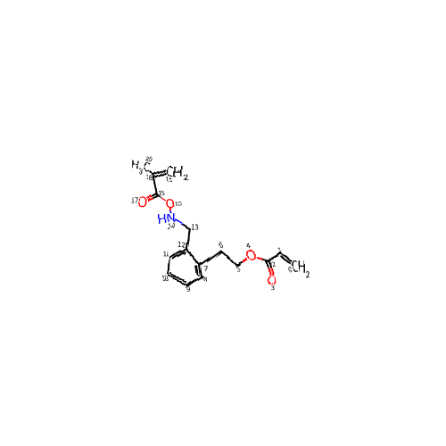 C=CC(=O)OCCc1ccccc1CNOC(=O)C(=C)C